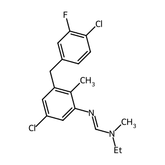 CCN(C)C=Nc1cc(Cl)cc(Cc2ccc(Cl)c(F)c2)c1C